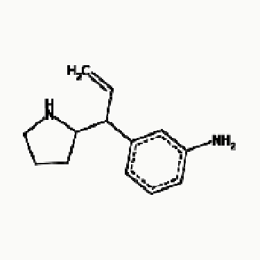 C=CC(c1cccc(N)c1)C1CCCN1